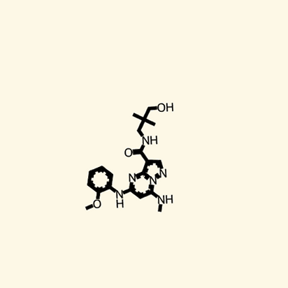 CNc1cc(Nc2ccccc2OC)nc2c(C(=O)NCC(C)(C)CO)cnn12